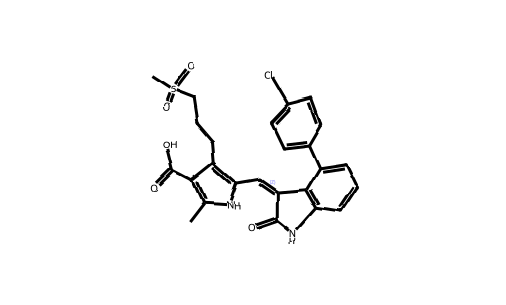 Cc1[nH]c(/C=C2\C(=O)Nc3cccc(-c4ccc(Cl)cc4)c32)c(CCCS(C)(=O)=O)c1C(=O)O